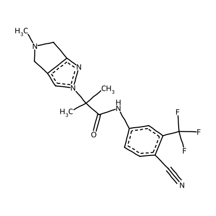 CN1Cc2cn(C(C)(C)C(=O)Nc3ccc(C#N)c(C(F)(F)F)c3)nc2C1